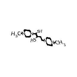 CN1CCN(CCC(S)C(S)N2CCN(C)CC2)CC1